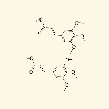 COC(=O)C=Cc1cc(OC)c(OC)c(OC)c1.COc1cc(C=CC(=O)O)cc(OC)c1OC